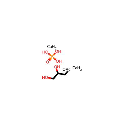 CC(=O)OCC(O)CO.O=P(O)(O)O.[CaH2].[CaH2]